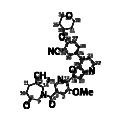 COc1cc(C(=O)N2CC(=O)CCC(C)C2)cnc1-c1cc2nccc(-c3ccc(OC4CCOCC4)c(C#N)c3)c2o1